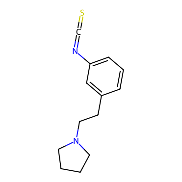 S=C=Nc1cccc(CCN2CCCC2)c1